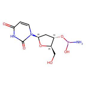 NP(O)O[C@H]1C[C@H](n2ccc(=O)[nH]c2=O)O[C@@H]1CO